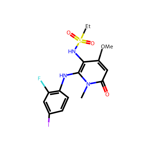 CCS(=O)(=O)Nc1c(OC)cc(=O)n(C)c1Nc1ccc(I)cc1F